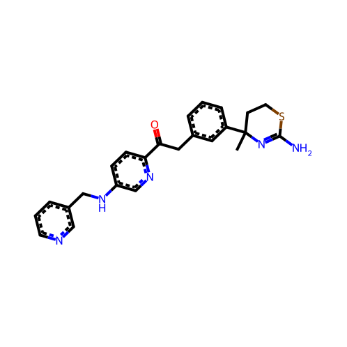 CC1(c2cccc(CC(=O)c3ccc(NCc4cccnc4)cn3)c2)CCSC(N)=N1